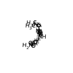 CN(C)c1cccc(-c2cn3nc(NCCc4ccc(S(N)(=O)=O)cc4)sc3n2)c1